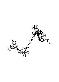 CC(C)N(C)[C@@H]1CC[C@H](N2CC[C@H](Nc3ncnc4ccc(C(F)(F)F)cc34)C2=O)[C@H](NC(=O)CCOCCOCCOCCNc2c(NCCCNC(=O)[C@H]3CC(=O)N(C)[C@@H]3c3cccnc3)c(=O)c2=O)C1